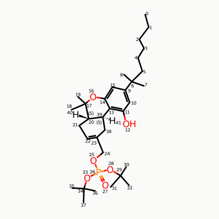 CCCCCCC(C)(C)c1cc(O)c2c(c1)OC(C)(C)[C@H]1CC=C(COP(=O)(OC(C)(C)C)OC(C)(C)C)C[C@H]21